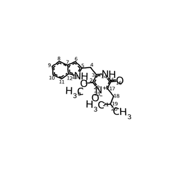 COc1c(Cc2cc3ccccc3[nH]2)[nH]c(=O)c(CC(C)C)[n+]1[O-]